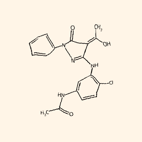 CC(=O)Nc1ccc(Cl)c(NC2=NN(c3ccccc3)C(=O)/C2=C(\C)O)c1